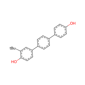 CC(C)(C)c1cc(-c2ccc(-c3ccc(O)cc3)cc2)ccc1O